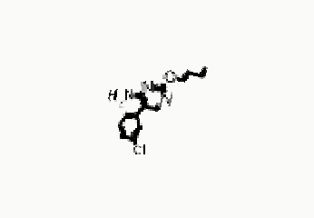 CCCCOc1ncc(-c2cccc(Cl)c2)c(N)n1